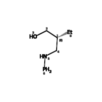 CC[C@@H](CO)CNP